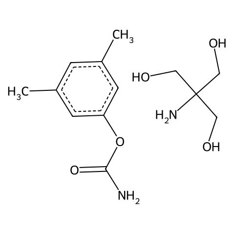 Cc1cc(C)cc(OC(N)=O)c1.NC(CO)(CO)CO